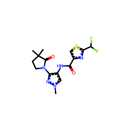 Cn1cc(NC(=O)c2csc(C(F)F)n2)c(N2CCC(C)(C)C2=O)n1